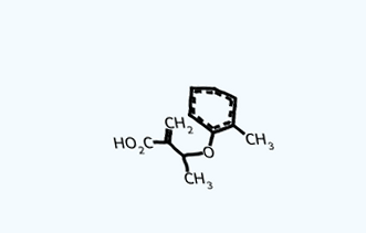 C=C(C(=O)O)C(C)Oc1ccccc1C